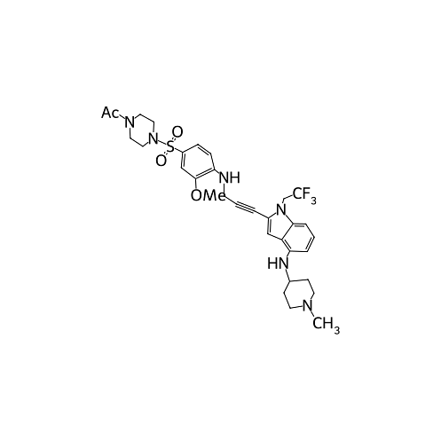 COc1cc(S(=O)(=O)N2CCN(C(C)=O)CC2)ccc1NCC#Cc1cc2c(NC3CCN(C)CC3)cccc2n1CC(F)(F)F